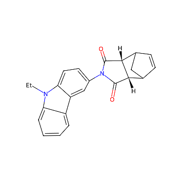 CCn1c2ccccc2c2cc(N3C(=O)[C@@H]4C5C=CC(C5)[C@@H]4C3=O)ccc21